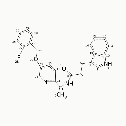 CC(NC(=O)CCc1c[nH]c2ccccc12)c1ccc(OCc2ccccc2F)cn1